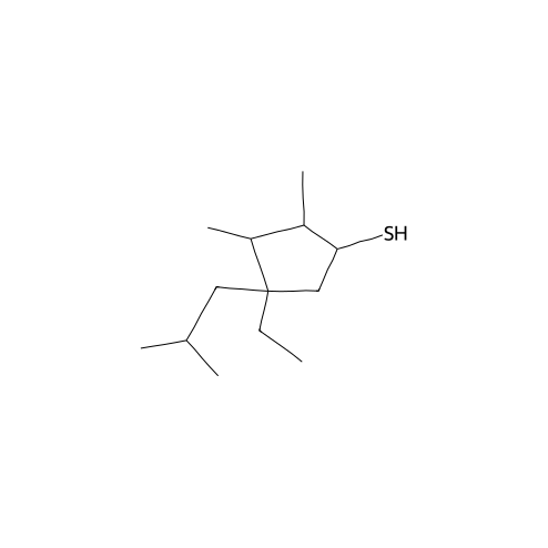 CCC1(CC(C)C)CC(S)C(C)C1C